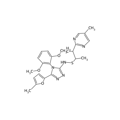 COc1cccc(OC)c1-n1c(NSC(C)C(C)c2ncc(C)cn2)nnc1-c1ccc(C)o1